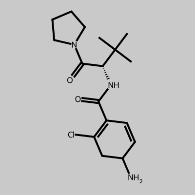 CC(C)(C)[C@H](NC(=O)C1=C(Cl)CC(N)C=C1)C(=O)N1CCCC1